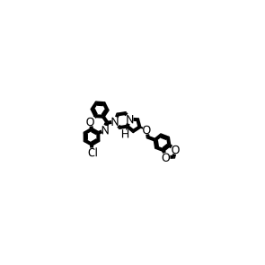 Clc1ccc2c(c1)N=C(N1CCN3C[C@@H](OCc4ccc5c(c4)OCO5)C[C@H]3C1)c1ccccc1O2